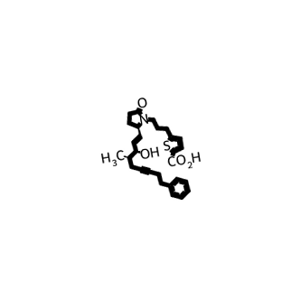 C[C@@H](CC#CCCc1ccccc1)[C@H](O)C=C[C@H]1CCC(=O)N1CCCc1ccc(C(=O)O)s1